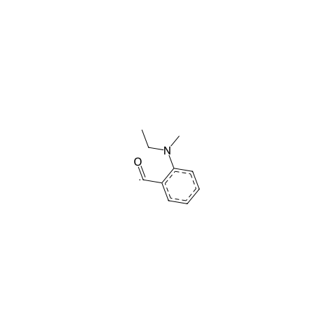 CCN(C)c1ccccc1[C]=O